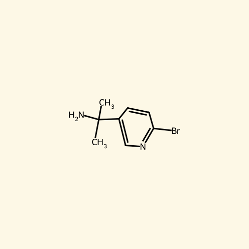 CC(C)(N)c1ccc(Br)nc1